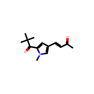 CC(=O)/C=C/c1cc(C(=O)C(C)(C)C)n(C)c1